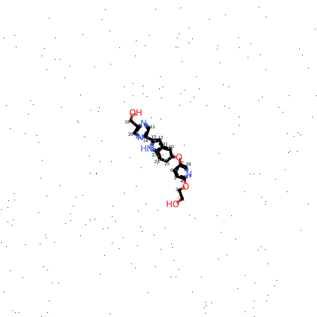 OCCOc1ccc(OC2C=c3cc(-c4cnc(CO)cn4)[nH]c3=CC2)cn1